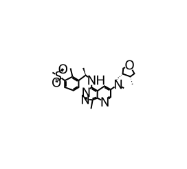 Cc1c([C@@H](C)Nc2nnc(C)c3ncc(N(C)C[C@@H]4COC[C@@H]4C)cc23)cccc1S(C)(=O)=O